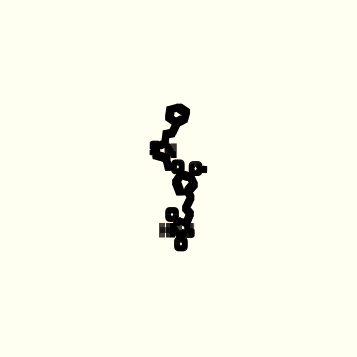 COc1cc(CCCC2SC(=O)NC2=O)ccc1OCc1csc(C=Cc2ccccc2)n1